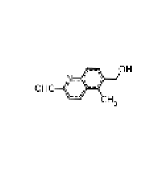 Cc1c(CO)ccc2nc(C=O)ccc12